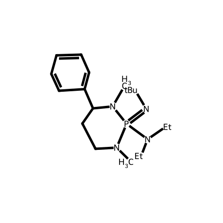 CCN(CC)P1(=NC(C)(C)C)N(C)CCC(c2ccccc2)N1C